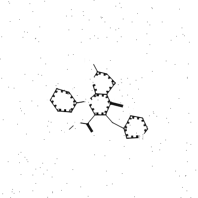 COC(=O)c1c(Cc2cccnc2)c(=O)c2ccc(C)nc2n1-c1ccccc1